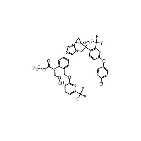 CO/C=C(/C(=O)OC)c1ccccc1COc1cccc(C(F)(F)F)n1.OC(Cn1cncn1)(c1ccc(Oc2ccc(Cl)cc2)cc1C(F)(F)F)C1CC1